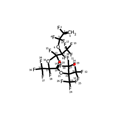 C=C(F)C(F)(F)OC(F)(C(F)(F)F)C(F)(F)OC(F)(C(=O)OC(C(F)(F)F)(C(F)(F)F)C(F)(F)F)C(F)(F)F